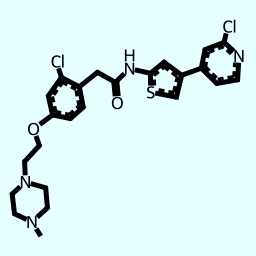 CN1CCN(CCOc2ccc(CC(=O)Nc3cc(-c4ccnc(Cl)c4)cs3)c(Cl)c2)CC1